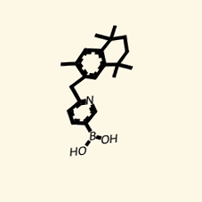 Cc1cc2c(cc1Cc1ccc(B(O)O)cn1)C(C)(C)CCC2(C)C